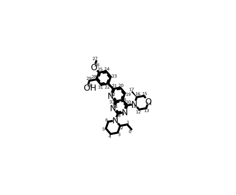 CCC1CCCCN1c1nc(N2CCOC[C@@H]2C)c2ccc(-c3ccc(OC)c(CO)c3)nc2n1